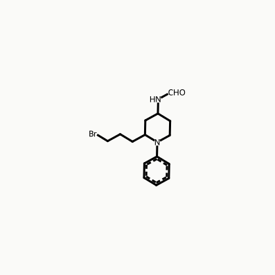 O=CNC1CCN(c2ccccc2)C(CCCBr)C1